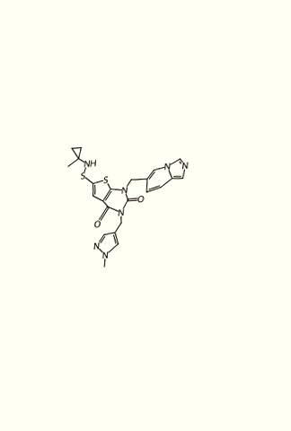 Cn1cc(Cn2c(=O)c3cc(SNC4(C)CC4)sc3n(Cc3ccc4cncn4c3)c2=O)cn1